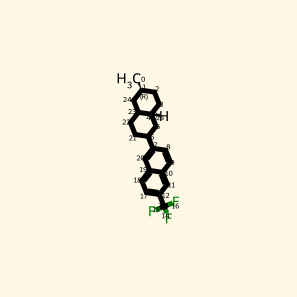 C[C@@H]1CC[C@@H]2CC(c3ccc4cc(C(F)(F)F)ccc4c3)CCC2C1